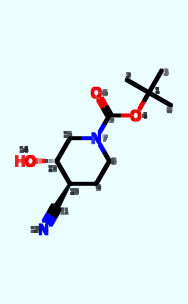 CC(C)(C)OC(=O)N1CC[C@@H](C#N)[C@H](O)C1